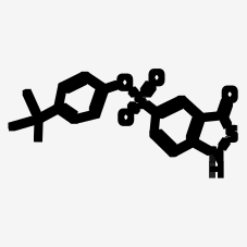 CC(C)(C)c1ccc(OS(=O)(=O)c2ccc3[nH]sc(=O)c3c2)cc1